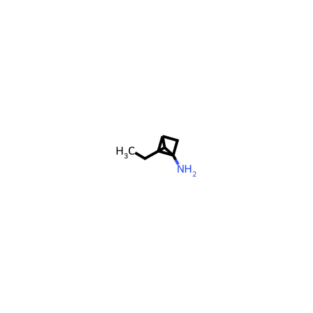 CCC1C2CC1(N)C2